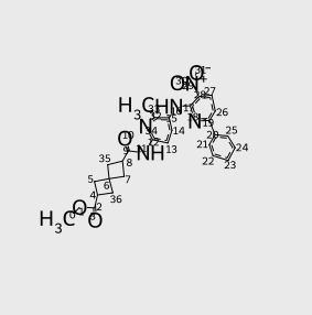 COC(=O)C1CC2(CC(C(=O)Nc3ccc(Nc4nc(-c5ccccc5)ccc4[N+](=O)[O-])c(C)n3)C2)C1